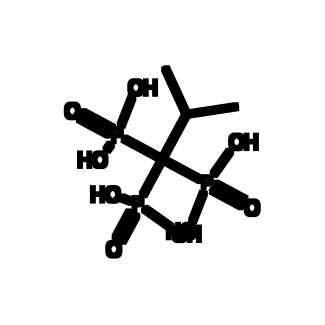 CC(C)C(P(=O)(O)O)(P(=O)(O)O)P(=O)(O)O